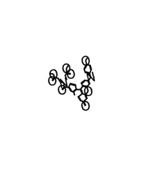 COC(=O)CCN(CCC(=O)OC)C(=O)c1ccc(-c2c3ccc(=O)cc-3oc3cc(N(C)c4ccc(OC)cc4)ccc23)c(C)c1